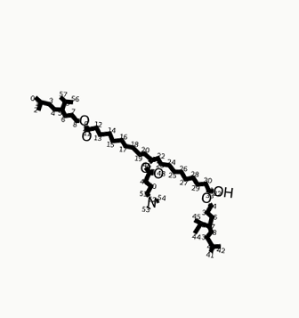 CC(C)CCC(CCCOC(=O)CCCCCCCCCC(CCCCCCCCCC(O)OCCCC(CCC(C)C)C(C)C)OC(=O)CCCN(C)C)C(C)C